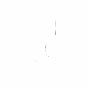 [C-]#[N+]C(Cl)C(Cl)CCC